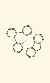 c1ccc2c(c1)Cc1ccccc1-2.c1ccc2c(c1)Cc1ccccc1-c1ccccc1-2